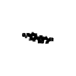 CCN(C)Cc1nc(-c2ccc([N+](=O)[O-])cc2)no1